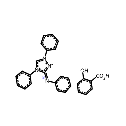 O=C(O)c1ccccc1O.c1ccc(/N=c2\[n-]n(-c3ccccc3)c[n+]2-c2ccccc2)cc1